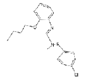 CCCCOc1ccccc1N=CN(C)Sc1ccc(Cl)cc1